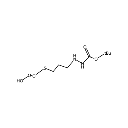 CC(C)(C)OC(=O)NNCCCSOOO